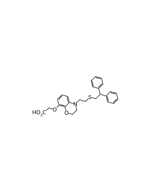 O=C(O)COc1cccc2c1OCCN2CCSCC(c1ccccc1)c1ccccc1